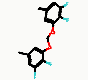 Cc1cc(F)c(F)c(OCOc2cc(C)cc(F)c2F)c1